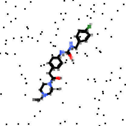 C[C@@H]1CN(C(=O)O)CCN1C(=O)Cc1ccc(NC(=O)NCc2ccc(Cl)cc2)cc1